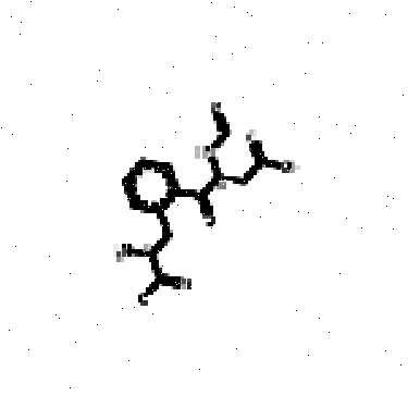 N[C@@H](Cc1ccccc1C(=O)[C@H](CC(=O)O)NC=O)C(=O)O